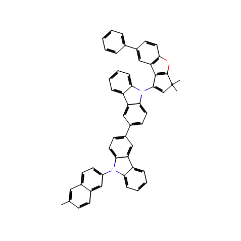 Cc1ccc2cc(-n3c4ccccc4c4cc(-c5ccc6c(c5)c5ccccc5n6C5=CC(C)(C)c6oc7ccc(-c8ccccc8)cc7c65)ccc43)ccc2c1